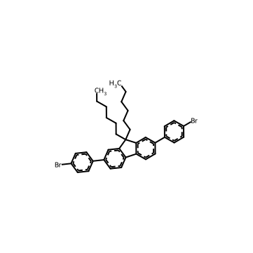 CCCCCCC1(CCCCCC)c2cc(-c3ccc(Br)cc3)ccc2-c2ccc(-c3ccc(Br)cc3)cc21